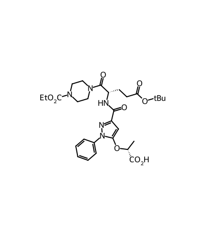 CCOC(=O)N1CCN(C(=O)[C@H](CCC(=O)OC(C)(C)C)NC(=O)c2cc(O[C@H](C)C(=O)O)n(-c3ccccc3)n2)CC1